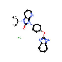 CC(C)n1c(=O)n(-c2ccc(Oc3nc4ccccc4[nH]3)cc2)c2ncccc21.Cl